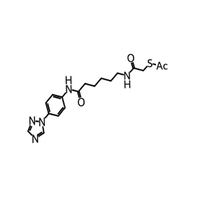 CC(=O)SCC(=O)NCCCCCC(=O)Nc1ccc(-n2cncn2)cc1